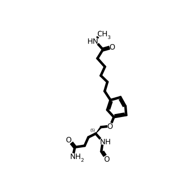 CNC(=O)CCCCCc1cccc(OC[C@H](CCC(N)=O)NC=O)c1